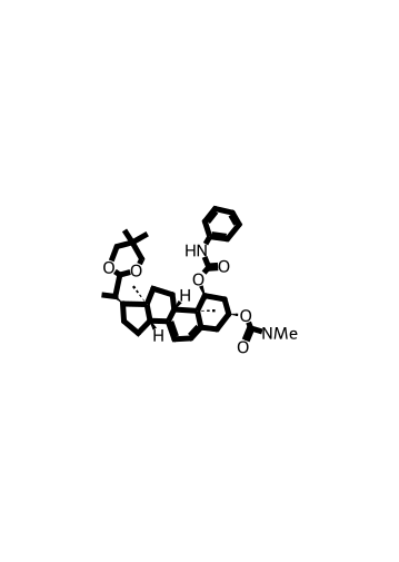 CNC(=O)O[C@@H]1CC2=CC=C3[C@@H]4CC[C@H](C(C)C5OCC(C)(C)CO5)[C@@]4(C)CC[C@@H]3[C@@]2(C)[C@@H](OC(=O)Nc2ccccc2)C1